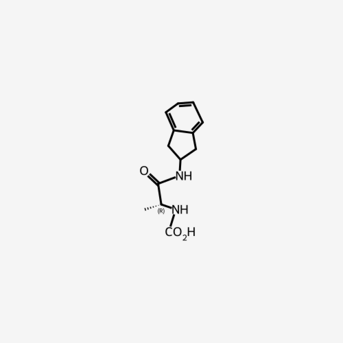 C[C@@H](NC(=O)O)C(=O)NC1Cc2ccccc2C1